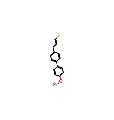 CCCOc1ccc(-c2ccc(CC=CF)cc2)cc1